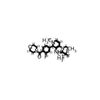 CCN(C1=C(N)C(c2ccc(C(=O)N3CCOCC3)c(F)c2)N(C)C=C1)C(C)C(F)(F)F